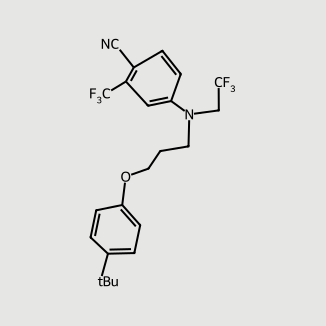 CC(C)(C)c1ccc(OCCCN(CC(F)(F)F)c2ccc(C#N)c(C(F)(F)F)c2)cc1